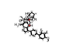 COc1ccc(-c2ncc(-c3cnn4c(N)c(S(C)(=O)=O)c([C@@H]5C[C@H]6CC[C@@H](C5)N6C(=O)CO)nc34)cn2)c(F)c1F